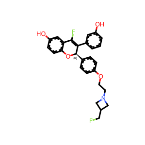 Oc1cccc(C2=C(F)c3cc(O)ccc3O[C@@H]2c2ccc(OCCN3CC(CF)C3)cc2)c1